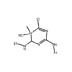 CCNC1=NC(NCC)[N+](C)(C#N)C(Cl)=N1